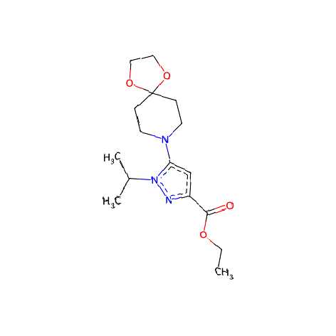 CCOC(=O)c1cc(N2CCC3(CC2)OCCO3)n(C(C)C)n1